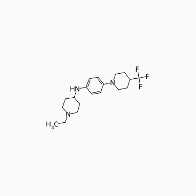 CCN1CCC(Nc2ccc(N3CCC(C(F)(F)F)CC3)cc2)CC1